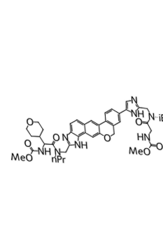 CCCN(Cc1nc2ccc3cc4c(cc3c2[nH]1)OCc1cc(-c2cnc(CN(C(=O)CNC(=O)OC)[C@@H](C)CC)[nH]2)ccc1-4)C(=O)C(NC(=O)OC)C1CCOCC1